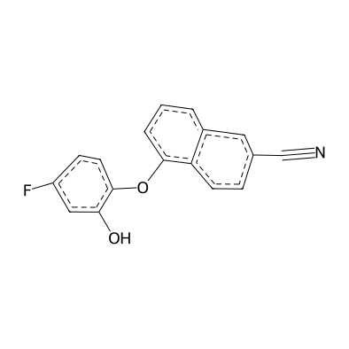 N#Cc1ccc2c(Oc3ccc(F)cc3O)cccc2c1